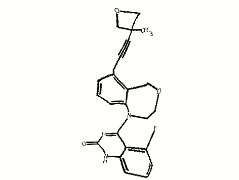 CC1(C#Cc2cccc3c2COCCN3c2nc(=O)[nH]c3cccc(F)c23)COC1